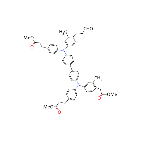 COC(=O)CCc1ccc(N(c2ccc(-c3ccc(N(c4ccc(CCC(=O)OC)cc4)c4ccc(CC(=O)OC)c(C)c4)cc3)cc2)c2ccc(CCC=O)c(C)c2)cc1